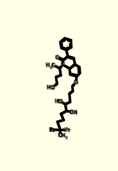 CCC(C)(CCCC(O)C(O)CCCCOC1=CC2C(C=C1)C=C(c1ccccc1)C(=O)N2C(C)CCCO)C(C)C